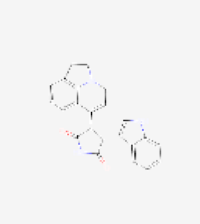 O=C1NC(=O)[C@@H](c2c[nH]c3ccccc23)[C@@H]1C1=CCN2CCc3cccc1c32